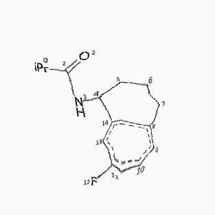 CC(C)C(=O)NC1CCCc2ccc(F)cc21